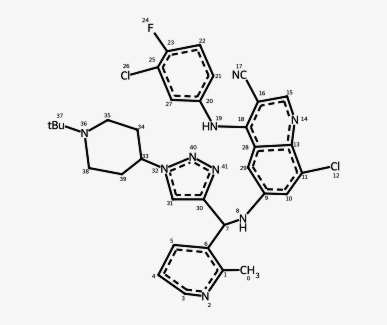 Cc1ncccc1C(Nc1cc(Cl)c2ncc(C#N)c(Nc3ccc(F)c(Cl)c3)c2c1)c1cn(C2CCN(C(C)(C)C)CC2)nn1